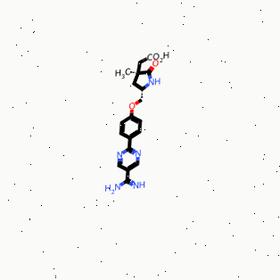 C[C@@]1(CC(=O)O)C[C@@H](COc2ccc(-c3ncc(C(=N)N)cn3)cc2)NC1=O